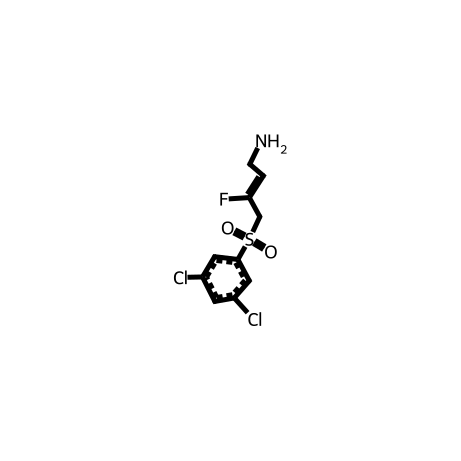 NC/C=C(\F)CS(=O)(=O)c1cc(Cl)cc(Cl)c1